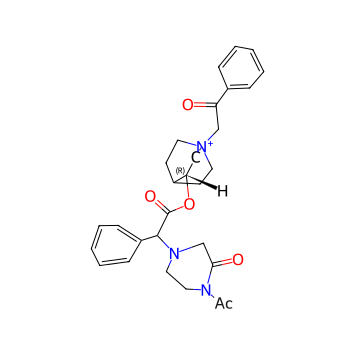 CC(=O)N1CCN(C(C(=O)O[C@H]2C[N+]3(CC(=O)c4ccccc4)CCC2CC3)c2ccccc2)CC1=O